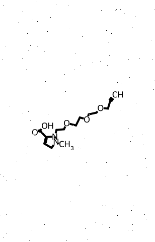 C#CCOCCOCCOCCN1C(C(=O)O)=CCN1C